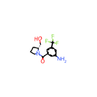 Nc1cc(C(=O)N2CCC[C@@H]2CO)cc(C(F)(F)F)c1